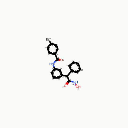 CCc1ccc(C(=O)Nc2cccc(C(C(=O)NO)c3ccccc3)c2)cc1